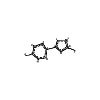 Cc1ncc(-c2cnn(C)c2)cn1